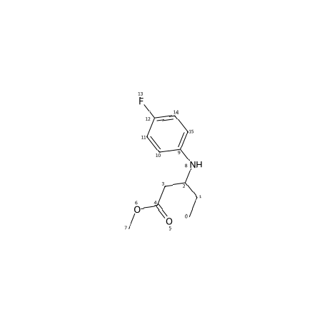 CCC(CC(=O)OC)Nc1ccc(F)cc1